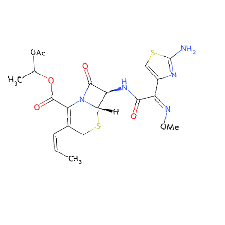 C/C=C\C1=C(C(=O)OC(C)OC(C)=O)N2C(=O)[C@@H](NC(=O)/C(=N\OC)c3csc(N)n3)[C@@H]2SC1